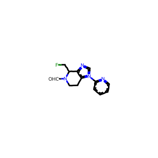 O=CN1CCc2c(ncn2-c2ccccn2)C1CF